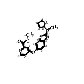 CNC(=O)c1cc(Oc2ccc3nc(N(C)[C@H]4CCCO4)sc3c2)ccn1